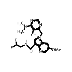 COc1cnc2c(C(=O)NCC(F)F)cn(Cc3ncnc(N(C)C)c3C)c2c1